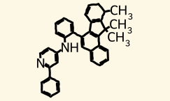 CC1CC=CC2=C1C(C)(C)c1c2c(-c2ccccc2Nc2ccnc(-c3ccccc3)c2)cc2ccccc12